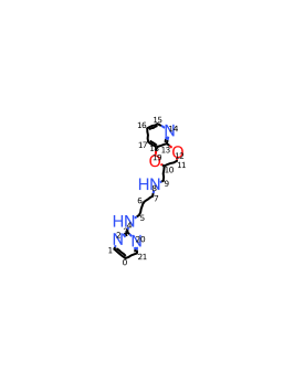 c1cnc(NCCCNCC2COc3ncccc3O2)nc1